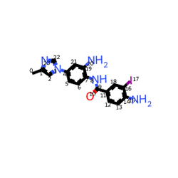 Cc1cn(-c2ccc(NC(=O)c3ccc(N)c(I)c3)c(N)c2)cn1